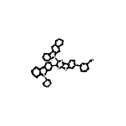 N#Cc1cccc(-c2ccc3c(c2)oc2nc(-c4ccc5c6ccccc6n(-c6ccccc6)c5c4)c(-n4c5ccccc5c5cc6ccccc6cc54)nc23)c1